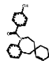 O=C(c1ccc(O)cc1)N1CCC2(C=CCCC2)Cc2ccccc21